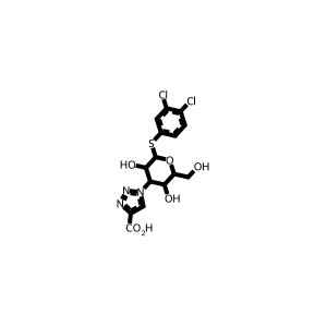 O=C(O)c1cn(C2C(O)C(CO)OC(Sc3ccc(Cl)c(Cl)c3)C2O)nn1